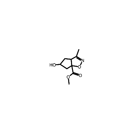 COC(=O)C12CC(O)CC1C(C)=NO2